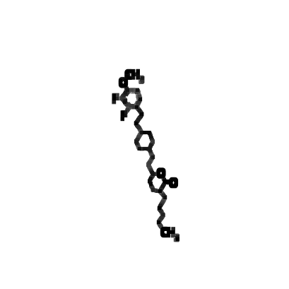 CCCCCC1CCC(CCC2CCC(CCc3ccc(OC)c(F)c3F)CC2)OC1=O